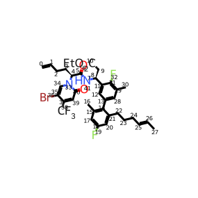 C=CCC[C@@H](C(=O)N[C@@H](CC(=O)OCC)c1cc(-c2c(C)cc(F)cc2CCCC=CC)cc(C)c1F)n1cc(Br)c(C(F)(F)F)cc1=O